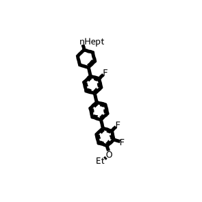 CCCCCCCC1CC=C(c2ccc(-c3ccc(-c4ccc(OCC)c(F)c4F)cc3)cc2F)CC1